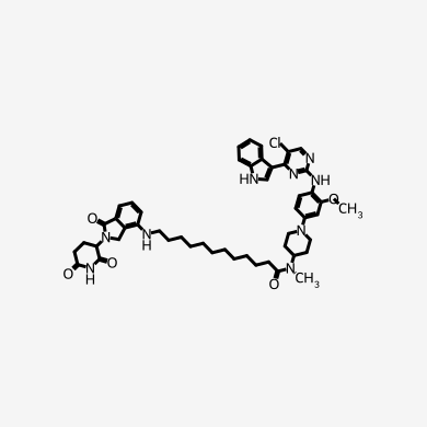 COc1cc(N2CCC(N(C)C(=O)CCCCCCCCCCCNc3cccc4c3CN(C3CCC(=O)NC3=O)C4=O)CC2)ccc1Nc1ncc(Cl)c(-c2c[nH]c3ccccc23)n1